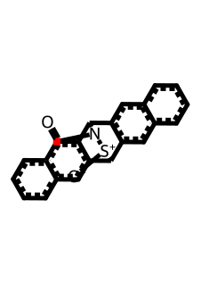 O=CN1C2c3cc4ccccc4cc3C(c3cc4ccccc4cc32)[S+]1[O-]